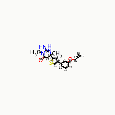 CN1C(=N)NC(C)(c2cc(-c3cccc(OCC4CC4)c3)cs2)CC1=O